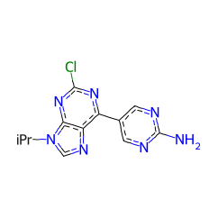 CC(C)n1cnc2c(-c3cnc(N)nc3)nc(Cl)nc21